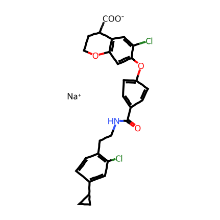 O=C(NCCc1ccc(C2CC2)cc1Cl)c1ccc(Oc2cc3c(cc2Cl)C(C(=O)[O-])CCO3)cc1.[Na+]